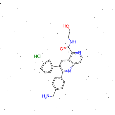 Cl.NCc1ccc(-c2nc3ccnc(C(=O)NCCO)c3cc2-c2ccccc2)cc1